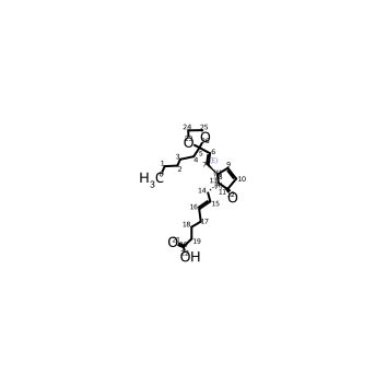 CCCCCC1(/C=C/[C@H]2C=CC(=O)[C@@H]2CC=CCCCC(=O)O)OCCO1